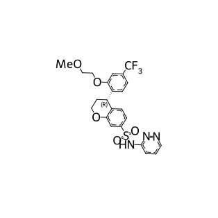 COCCOc1cc(C(F)(F)F)ccc1[C@H]1CCOc2cc(S(=O)(=O)Nc3cccnn3)ccc21